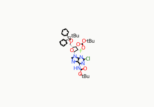 CC(C)(C)OC(=O)Nc1nc(Cl)nc2c1ncn2[C@@H]1O[C@H](CO[Si](c2ccccc2)(c2ccccc2)C(C)(C)C)[C@@H](OC(=O)OC(C)(C)C)[C@@H]1F